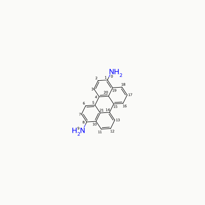 Nc1ccc2c3ccc(N)c4cccc(c5cccc1c52)c43